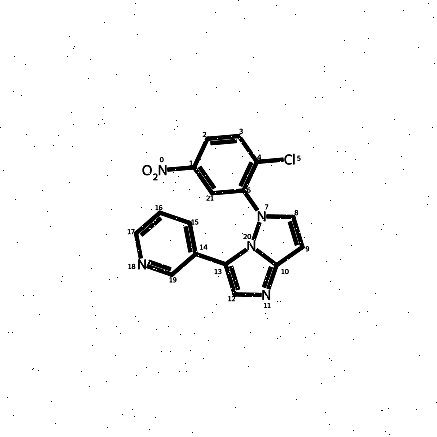 O=[N+]([O-])c1ccc(Cl)c(-n2ccc3ncc(-c4cccnc4)n32)c1